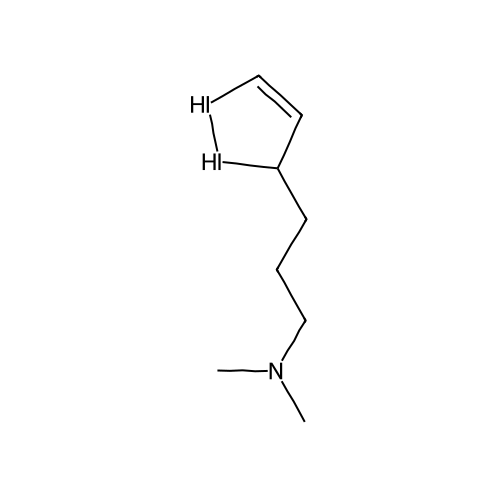 CN(C)CCCC1C=C[IH][IH]1